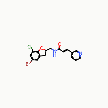 O=C(C=Cc1cccnc1)NCC1Cc2cc(Br)cc(Cl)c2O1